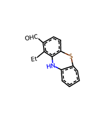 CCc1c(C=O)ccc2c1Nc1ccccc1S2